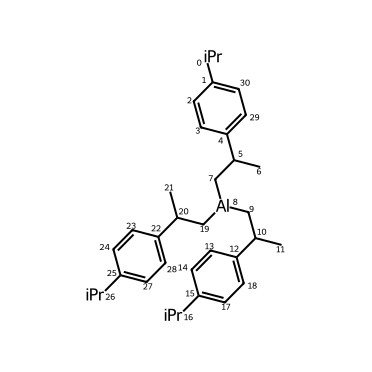 CC(C)c1ccc(C(C)[CH2][Al]([CH2]C(C)c2ccc(C(C)C)cc2)[CH2]C(C)c2ccc(C(C)C)cc2)cc1